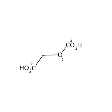 O=C(O)COC(=O)O